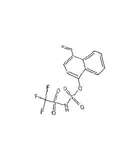 C=Cc1ccc(OS(=O)(=O)NS(=O)(=O)C(F)(F)F)c2ccccc12